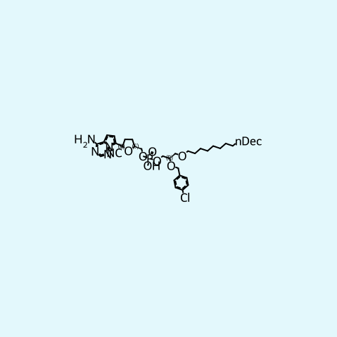 CCCCCCCCCCCCCCCCCCOC[C@H](COP(=O)(O)OC[C@@H]1CC[C@](C#N)(c2ccc3c(N)ncnn23)O1)OCc1ccc(Cl)cc1